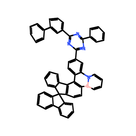 C1=CB2c3ccc4c(c3-c3ccc(-c5nc(-c6ccccc6)nc(-c6cccc(-c7ccccc7)c6)n5)cc3N2C=C1)-c1ccccc1C41c2ccccc2-c2ccccc21